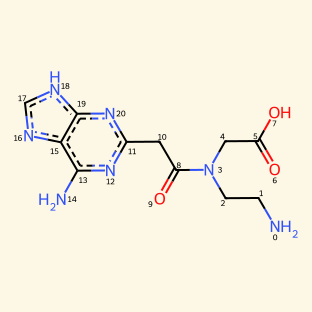 NCCN(CC(=O)O)C(=O)Cc1nc(N)c2nc[nH]c2n1